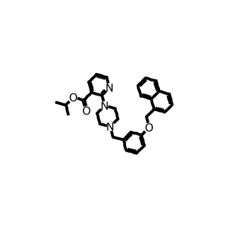 CC(C)OC(=O)c1cccnc1N1CCN(Cc2cccc(OCc3cccc4ccccc34)c2)CC1